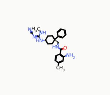 CN/C(=N\C#N)N[C@H]1CC[C@](CNC(=O)c2ccc(C)cc2N)(c2ccccc2)CC1